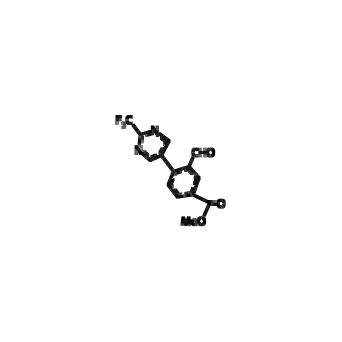 COC(=O)c1ccc(-c2cnc(C(F)(F)F)nc2)c(C=O)c1